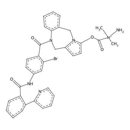 C[N+](C)(N)C(=O)Oc1ccc2n1Cc1ccccc1N(C(=O)c1ccc(NC(=O)c3ccccc3-c3ccccn3)cc1Br)C2